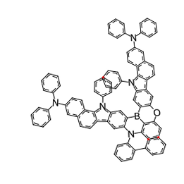 c1ccc(-c2ccccc2N2c3cc4c5ccc6cc(N(c7ccccc7)c7ccccc7)ccc6c5n(-c5ccccc5)c4cc3B3c4cc5c(cc4Oc4cccc2c43)c2ccc3cc(N(c4ccccc4)c4ccccc4)ccc3c2n5-c2ccccc2)cc1